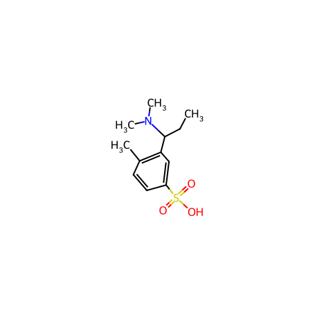 CCC(c1cc(S(=O)(=O)O)ccc1C)N(C)C